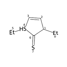 CCC1C=C[SH](CC)C1=S